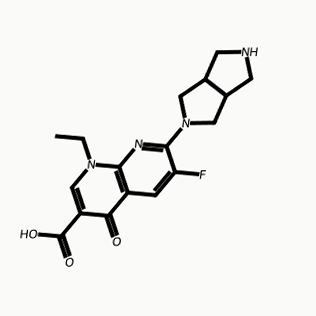 CCn1cc(C(=O)O)c(=O)c2cc(F)c(N3CC4CNCC4C3)nc21